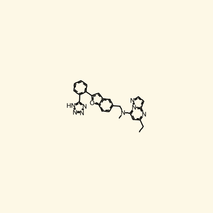 CCc1cc(N(C)Cc2ccc3oc(-c4ccccc4-c4nnn[nH]4)cc3c2)n2nccc2n1